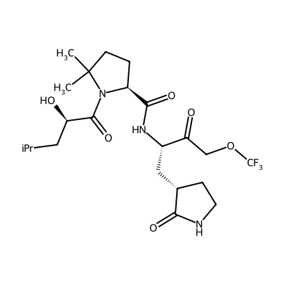 CC(C)C[C@@H](O)C(=O)N1[C@H](C(=O)N[C@@H](C[C@@H]2CCNC2=O)C(=O)COC(F)(F)F)CCC1(C)C